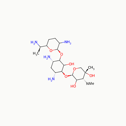 CN[C@@H]1C(O)[C@@H](O[C@@H]2C(O)C(O[C@H]3OC([C@@H](C)N)CCC3N)[C@@H](N)C[C@H]2N)OC[C@]1(C)O